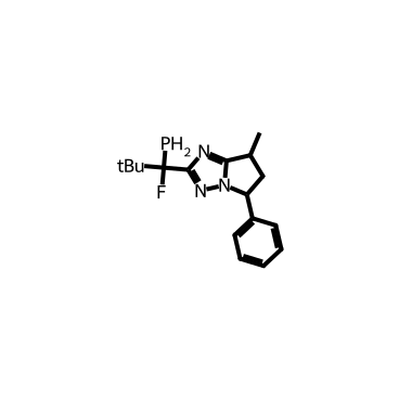 CC1CC(c2ccccc2)n2nc(C(F)(P)C(C)(C)C)nc21